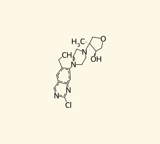 CCc1cc2cnc(Cl)nc2cc1N1CCN([C@@]2(C)COC[C@H]2O)CC1